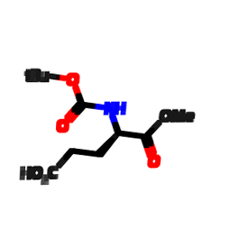 COC(=O)[C@@H](CCC(=O)O)NC(=O)OC(C)(C)C